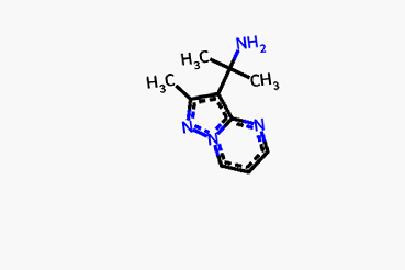 Cc1nn2cccnc2c1C(C)(C)N